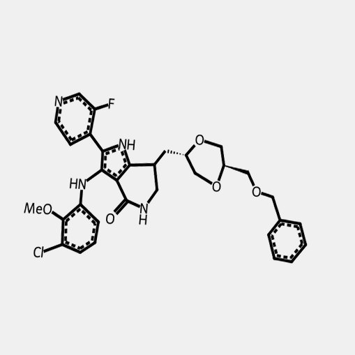 COc1c(Cl)cccc1Nc1c(-c2ccncc2F)[nH]c2c1C(=O)NCC2C[C@H]1CO[C@H](COCc2ccccc2)CO1